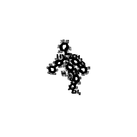 CC1C=Cc2sc3c4c(ccc3c2C1)N(C1=CC=CC2OC3=C(C=CC(C)(C5=NC(C6=CCCC=C6)NC(c6ccc(C7=CC=CCC7)cc6)N5)C3)C12)C1C=CC=CC41C